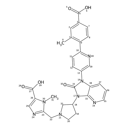 Cc1cc(C(=O)O)ccc1-c1ccc(-n2c(=O)n(C3CCN(Cc4ncc(C(=O)O)n4C)C3)c3ncccc32)cn1